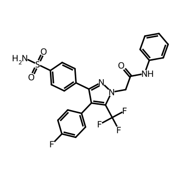 NS(=O)(=O)c1ccc(-c2nn(CC(=O)Nc3ccccc3)c(C(F)(F)F)c2-c2ccc(F)cc2)cc1